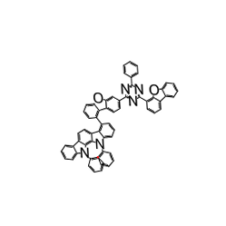 c1ccc(-c2nc(-c3ccc4c(c3)oc3cccc(-c5cccc6c5c5ccc7c8ccccc8n(-c8ccccc8)c7c5n6-c5ccccc5)c34)nc(-c3cccc4c3oc3ccccc34)n2)cc1